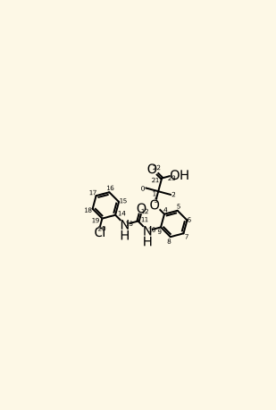 CC(C)(Oc1ccccc1NC(=O)Nc1ccccc1Cl)C(=O)O